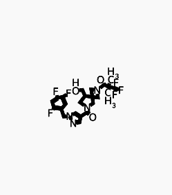 CC(C)(C(=O)N1CC2(CN(C(=O)c3cnn(Cc4cc(F)c(F)cc4F)c3)CC2CO)C1)C(F)(F)F